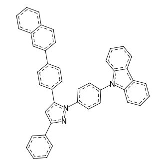 c1ccc(-c2cc(-c3ccc(-c4ccc5ccccc5c4)cc3)n(-c3ccc(-n4c5ccccc5c5ccccc54)cc3)n2)cc1